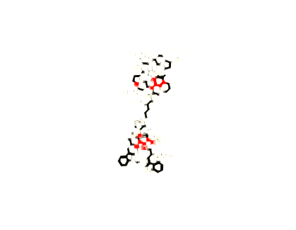 CCCC[C@@H](C(=O)N(C)[C@@H](CCCC)C(=O)N[C@@H](CC(C)C)C(=O)NCCC[C@H](N)C(=O)N[C@@H](Cc1ccc(C)cc1)C(=O)N1CCCC[C@H]1C(=O)N[C@@H](CC(N)=O)C(=O)N1CCC[C@H]1C(=O)N[C@@H](CN)C(=O)N[C@@H](CCC(=O)O)C(=O)N1C[C@H](O)C[C@H]1C=O)N(C)C(=O)[C@H](Cc1cn(CC(=O)O)c2ccccc12)NC(=O)[C@H](CCN)NC(=O)[C@H](Cc1c[nH]c2ccccc12)NC